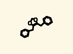 c1ccc(CC2=C(Cc3ccccc3)OCO2)cc1